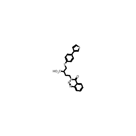 O=C(O)C(CCn1nnc2ccccc2c1=O)CSc1ccc(-c2ccsc2)cc1